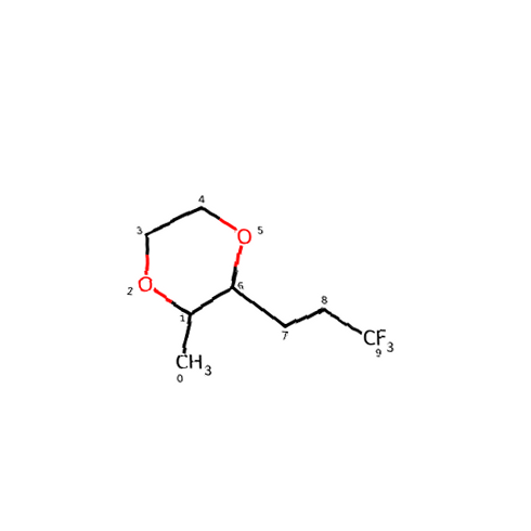 CC1OCCOC1CCC(F)(F)F